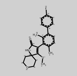 COC1=C(c2c(C)ccc(-c3ccc(F)cc3)c2C)C(=O)NC12CCOCC2